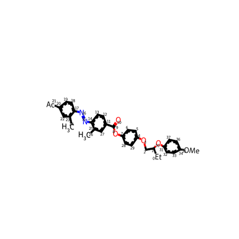 CCC(COc1ccc(OC(=O)c2ccc(N=Nc3ccc(C(C)=O)cc3C)c(C)c2)cc1)Oc1ccc(OC)cc1